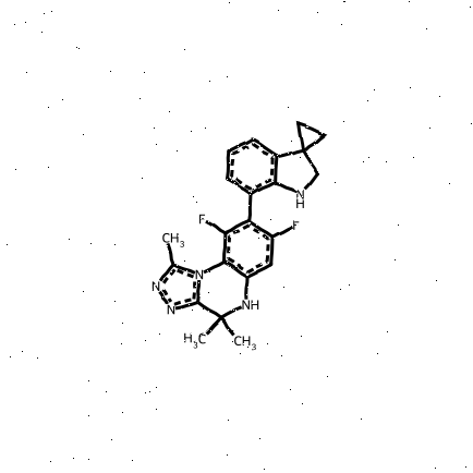 Cc1nnc2n1-c1c(cc(F)c(-c3cccc4c3NCC43CC3)c1F)NC2(C)C